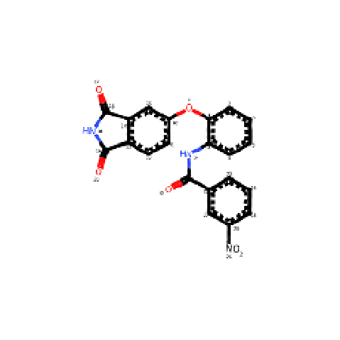 O=C(Nc1ccccc1Oc1ccc2c(c1)C(=O)NC2=O)c1cccc([N+](=O)[O-])c1